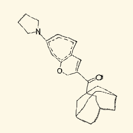 O=C(C1=Cc2ccc(N3CCCC3)cc2OC1)C12CC3CC(CC(C3)C1)C2